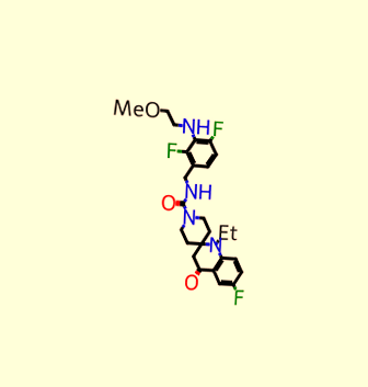 CCN1c2ccc(F)cc2C(=O)CC12CCN(C(=O)NCc1ccc(F)c(NCCOC)c1F)CC2